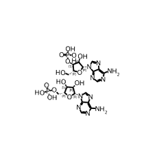 Nc1ncnc2c1ncn2[C@@H]1O[C@H](CO)[C@@H](OP(=O)(O)O)[C@H]1O.Nc1ncnc2c1ncn2[C@@H]1O[C@H](COP(=O)(O)O)[C@@H](O)[C@H]1O